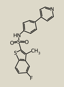 Cc1c(S(=O)(=O)Nc2ccc(-c3ccncc3)cc2)sc2ccc(F)cc12